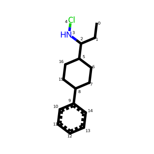 CCC(NCl)C1CCC(c2ccccc2)CC1